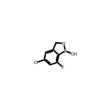 OB1OCc2cc(Cl)cc(F)c21